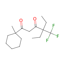 CCC(CC)(C(=O)CC(=O)C1(C)CCCCC1)C(F)(F)F